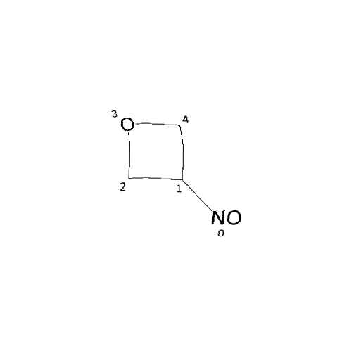 O=NC1COC1